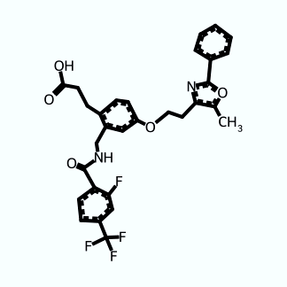 Cc1oc(-c2ccccc2)nc1CCOc1ccc(CCC(=O)O)c(CNC(=O)c2ccc(C(F)(F)F)cc2F)c1